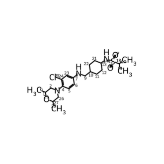 CC1CN(c2ccc(NCC3CCC(NS(=O)(=O)C(C)C)CC3)cc2Cl)CC(C)O1